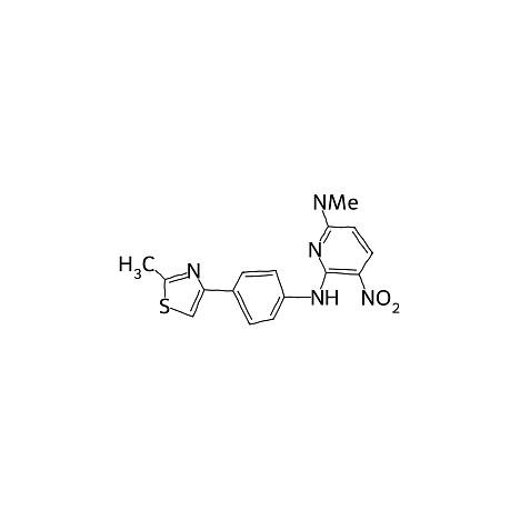 CNc1ccc([N+](=O)[O-])c(Nc2ccc(-c3csc(C)n3)cc2)n1